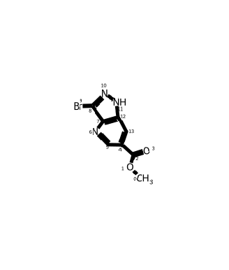 COC(=O)c1cnc2c(Br)n[nH]c2c1